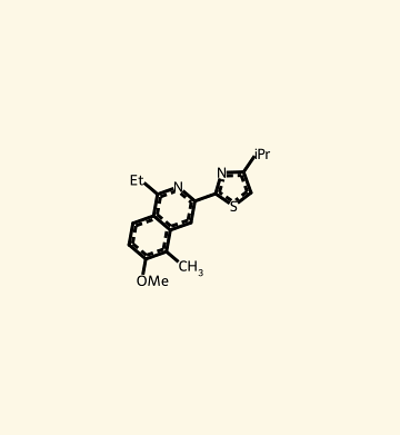 CCc1nc(-c2nc(C(C)C)cs2)cc2c(C)c(OC)ccc12